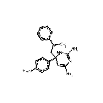 COc1ccc(C2(CN(C)c3ccccc3)N=C(N)N=C(N)N2)cc1